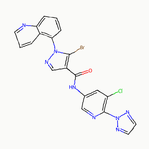 O=C(Nc1cnc(-n2nccn2)c(Cl)c1)c1cnn(-c2cccc3ncccc23)c1Br